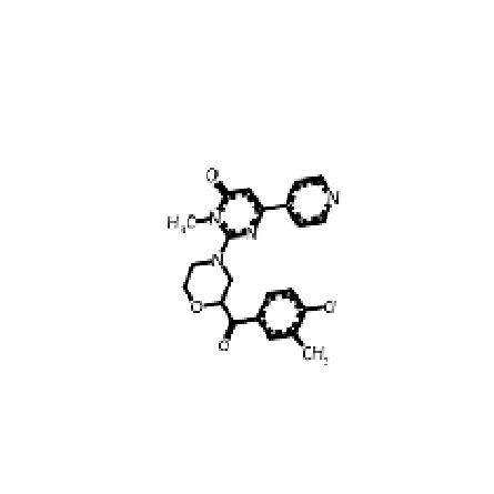 Cc1cc(C(=O)C2CN(c3nc(-c4ccncc4)cc(=O)n3C)CCO2)ccc1Cl